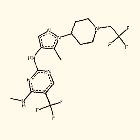 CNc1nc(Nc2cnn(C3CCN(CC(F)(F)F)CC3)c2C)ncc1C(F)(F)F